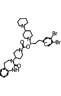 O=C(O[C@H](CCc1ccc(Br)c(Br)c1)N1CCC(N2CCCCC2)CC1)N1CCC(N2CCc3ccccc3NC2=O)CC1